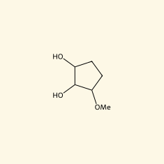 COC1CCC(O)C1O